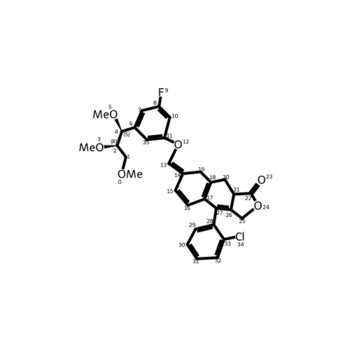 COC[C@@H](OC)[C@@H](OC)c1cc(F)cc(OC=C2C=CC3=C(C2)CC2C(=O)OCC2=C3c2ccccc2Cl)c1